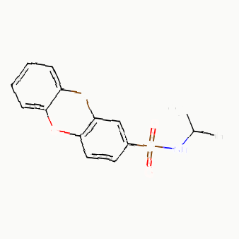 CC(C)C(NS(=O)(=O)c1ccc2c(c1)Sc1ccccc1O2)C(=O)O